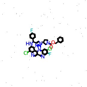 N#Cc1cnc2c(Cl)cc(NC(c3ccc(F)cc3)c3cn([C@@H]4CCN(C(=O)OCc5ccccc5)C4)nn3)cc2c1Nc1ccc(F)c(Cl)c1